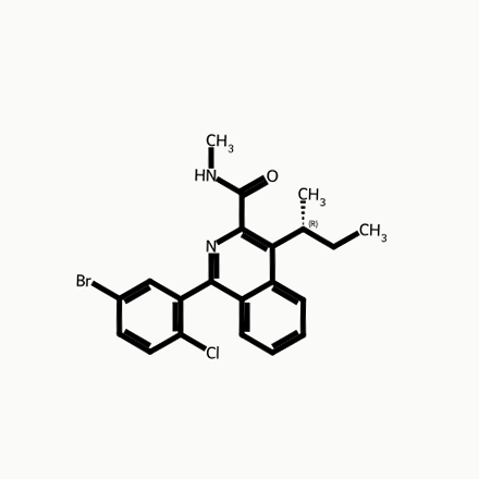 CC[C@@H](C)c1c(C(=O)NC)nc(-c2cc(Br)ccc2Cl)c2ccccc12